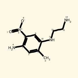 Cc1cc(N)c([N+](=O)[O-])cc1NCCN